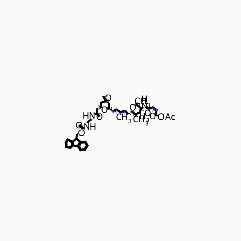 CC(=O)O[C@@H](C)/C=C\C(=O)N[C@@H]1C[C@H](C)[C@H](C/C=C(C)/C=C/[C@@H]2C[C@]3(CO3)C[C@@H](CC(=O)NCCNC(=O)OCC3c4ccccc4-c4ccccc43)O2)O[C@@H]1C